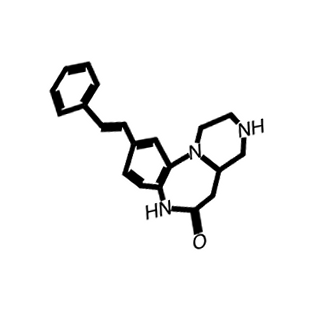 O=C1CC2CNCCN2c2cc(/C=C/c3ccccc3)ccc2N1